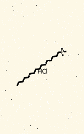 CCCCCCCCCCCCCCCC[P](C)(C)C.Cl